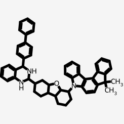 CC1(C)c2ccccc2-c2c1ccc1c2c2ccccc2n1C1CCCC2C3CCC(C4Nc5ccccc5C(c5ccc(-c6ccccc6)cc5)N4)CC3OC21